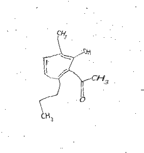 CCCc1ccc(C)c(O)c1C(C)=O